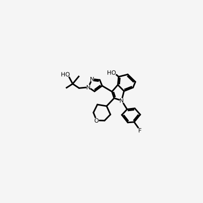 CC(C)(O)Cn1cc(-c2c(C3CCOCC3)n(-c3ccc(F)cc3)c3cccc(O)c23)cn1